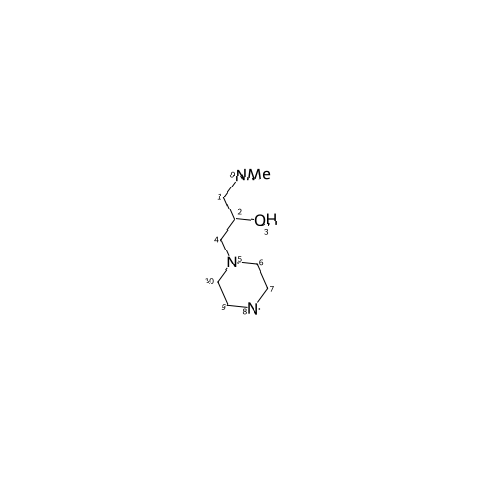 CNCC(O)CN1CC[N]CC1